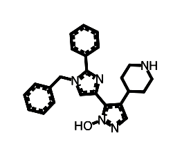 On1ncc(C2CCNCC2)c1-c1cn(Cc2ccccc2)c(-c2ccccc2)n1